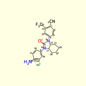 N#Cc1ccc(N2C(=O)N(c3ccc(N)c(F)c3)C3CCCCC32)cc1C(F)(F)F